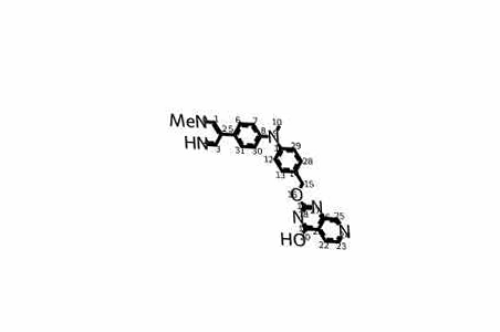 CN/C=C(\C=N)c1ccc(N(C)c2ccc(COc3nc(O)c4ccncc4n3)cc2)cc1